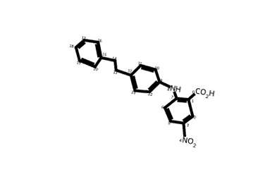 O=C(O)c1cc([N+](=O)[O-])ccc1Nc1ccc(CCc2ccccc2)cc1